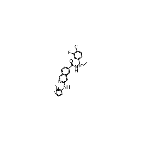 CC[C@@H](NC(=O)c1ccc2cnc(Nc3ccnn3C)cc2c1)c1ccc(Cl)c(F)c1